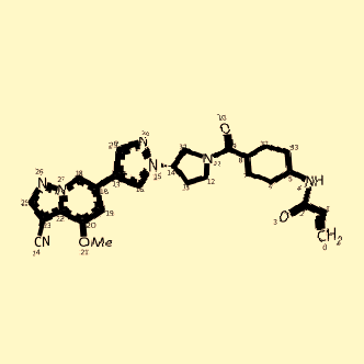 C=CC(=O)NC1CCC(C(=O)N2CC[C@H](n3cc(-c4cc(OC)c5c(C#N)cnn5c4)cn3)C2)CC1